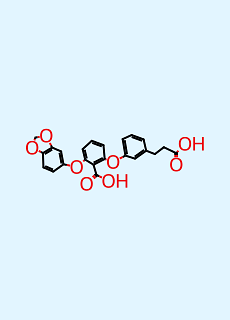 O=C(O)CCc1cccc(Oc2cccc(Oc3ccc4c(c3)OCO4)c2C(=O)O)c1